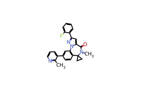 Cc1ncccc1-c1ccc2c(c1)-n1nc(-c3ccccc3F)cc1C(=O)N(C)C21CC1